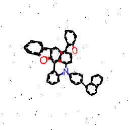 c1ccc(N(c2ccc(-c3cccc4ccccc34)cc2)c2ccc3c(c2)oc2ccccc23)c(-c2cccc3c2oc2ccccc23)c1